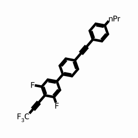 CCCc1ccc(C#Cc2ccc(-c3cc(F)c(C#CC(F)(F)F)c(F)c3)cc2)cc1